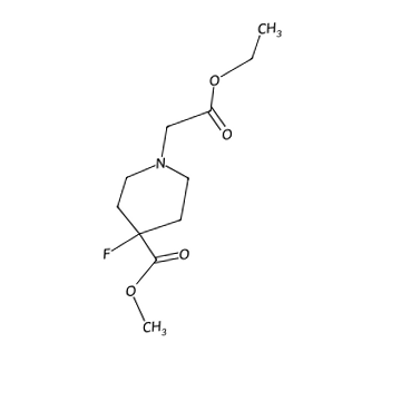 CCOC(=O)CN1CCC(F)(C(=O)OC)CC1